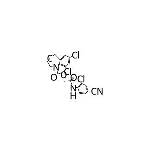 N#Cc1ccc(NC(=O)COC(=O)N2CCCCc3cc(Cl)cc(Cl)c32)c(Cl)c1